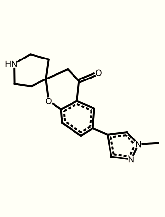 Cn1cc(-c2ccc3c(c2)C(=O)CC2(CCNCC2)O3)cn1